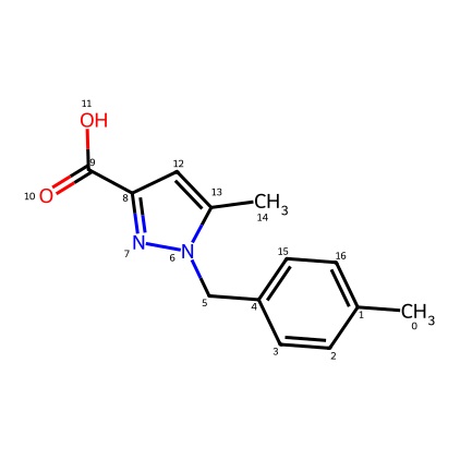 Cc1ccc(Cn2nc(C(=O)O)cc2C)cc1